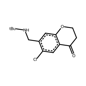 CC(C)(C)NCc1cc2c(cc1Cl)C(=O)CCO2